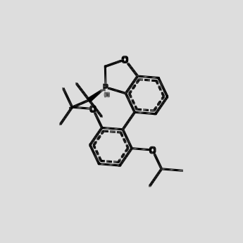 CC(C)Oc1cccc(OC(C)C)c1-c1cccc2c1[P@@](C(C)(C)C)CO2